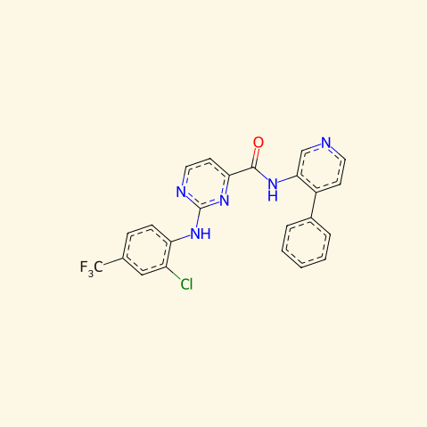 O=C(Nc1cnccc1-c1ccccc1)c1ccnc(Nc2ccc(C(F)(F)F)cc2Cl)n1